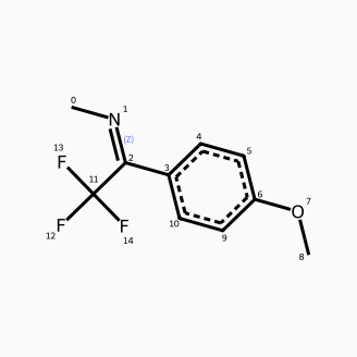 C/N=C(/c1ccc(OC)cc1)C(F)(F)F